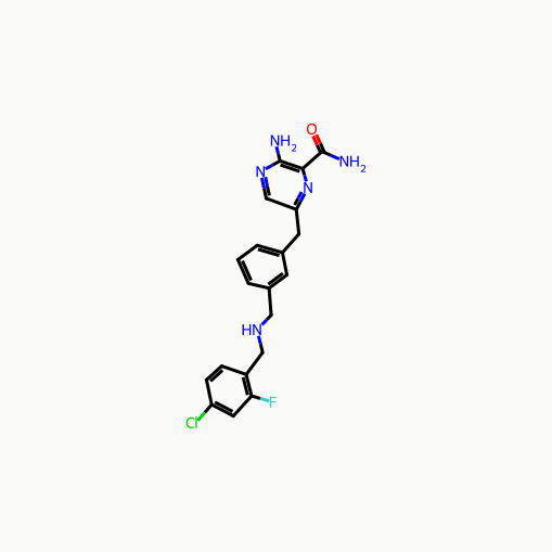 NC(=O)c1nc(Cc2cccc(CNCc3ccc(Cl)cc3F)c2)cnc1N